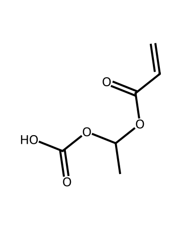 C=CC(=O)OC(C)OC(=O)O